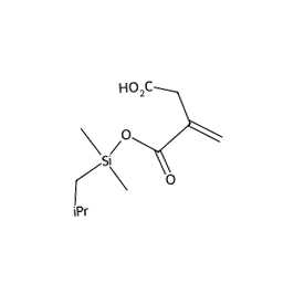 C=C(CC(=O)O)C(=O)O[Si](C)(C)CC(C)C